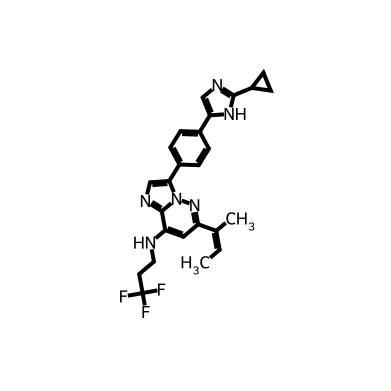 C/C=C(/C)c1cc(NCCC(F)(F)F)c2ncc(-c3ccc(-c4cnc(C5CC5)[nH]4)cc3)n2n1